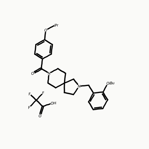 CC(C)COc1ccccc1CN1CCC2(CCN(C(=O)c3ccc(OC(C)C)cc3)CC2)C1.O=C(O)C(F)(F)F